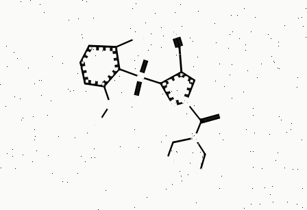 CCN(CC)C(=O)n1cc(C#N)c(S(=O)(=O)c2c(C)cccc2OC)n1